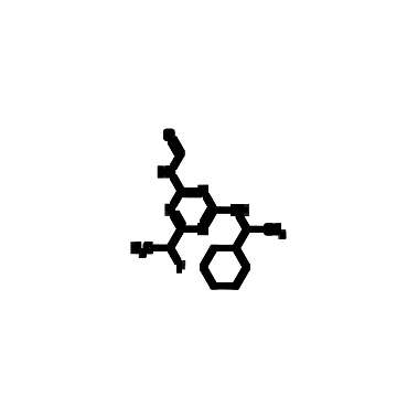 CC(F)c1nc(NC=O)nc(NC(C)C2CCCCC2)n1